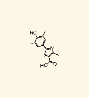 Cc1cc(-c2nc(C)c(C(=O)O)s2)cc(C)c1O